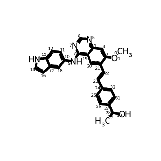 COc1cc2ncnc(Nc3ccc4[nH]ccc4c3)c2cc1C=Cc1ccc(C(C)O)cc1